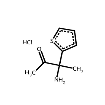 CC(=O)C(C)(N)c1cccs1.Cl